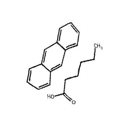 CCCCCC(=O)O.c1ccc2cc3ccccc3cc2c1